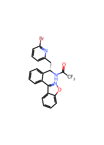 O=C(N[C@@H](Cc1cccc(Br)n1)c1ccccc1-c1noc2ccccc12)C(F)(F)F